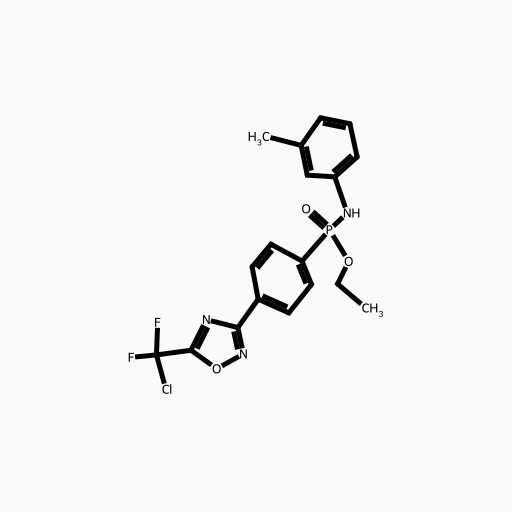 CCOP(=O)(Nc1cccc(C)c1)c1ccc(-c2noc(C(F)(F)Cl)n2)cc1